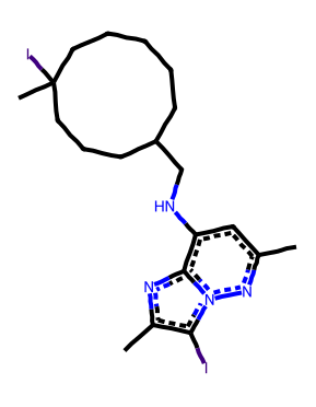 Cc1cc(NCC2CCCCCC(C)(I)CCC2)c2nc(C)c(I)n2n1